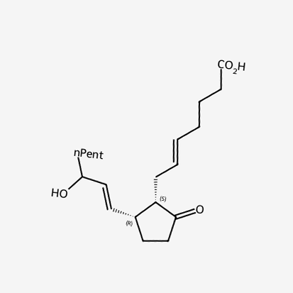 CCCCCC(O)C=C[C@H]1CCC(=O)[C@H]1CC=CCCCC(=O)O